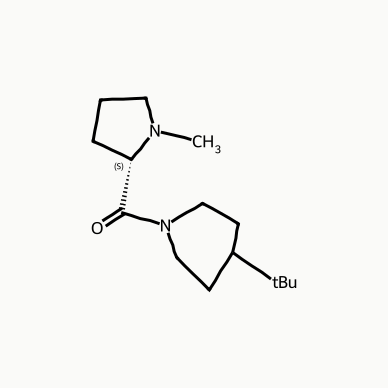 CN1CCC[C@H]1C(=O)N1CCC(C(C)(C)C)CC1